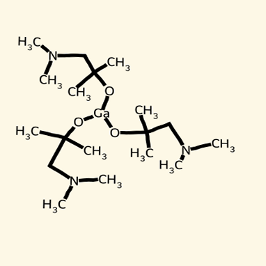 CN(C)CC(C)(C)[O][Ga]([O]C(C)(C)CN(C)C)[O]C(C)(C)CN(C)C